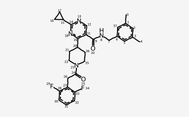 Cc1cc(C)cc(CNC(=O)c2cnc(C3CC3)nc2C2CCN(C(=O)Cc3c(F)cccc3F)CC2)c1